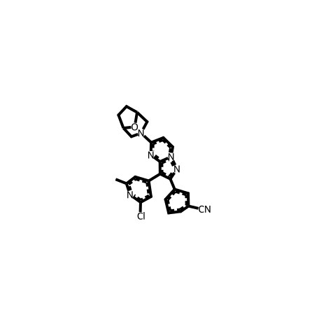 Cc1cc(-c2c(-c3cccc(C#N)c3)nn3ccc(N4CC5CCC(C4)O5)nc23)cc(Cl)n1